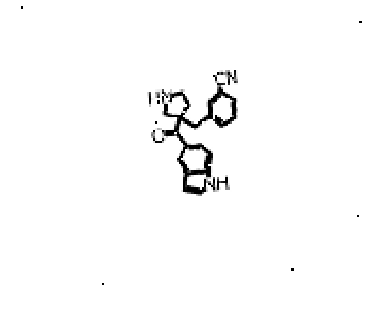 N#Cc1cccc(CC2(C(=O)c3ccc4[nH]ccc4c3)CCNC2)c1